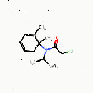 COC(C)N(C(=O)CCl)C1(C)CC=CC=C1C